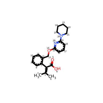 CC(C)=C(C(=O)O)c1ccccc1COc1cccc(N2CCCCC2)n1